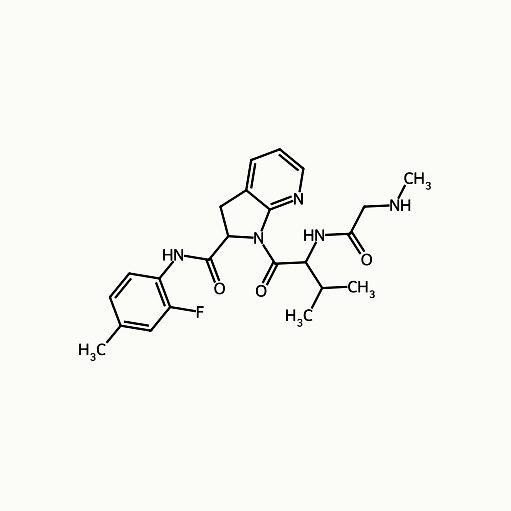 CNCC(=O)NC(C(=O)N1c2ncccc2CC1C(=O)Nc1ccc(C)cc1F)C(C)C